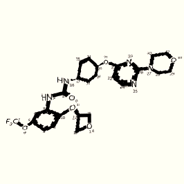 O=C(Nc1cc(OC(F)(F)F)ccc1OC1COC1)N[C@H]1CC[C@H](Oc2ccnc(N3CCOCC3)n2)CC1